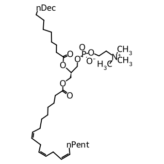 CCCCC/C=C\C/C=C\C/C=C\CCCCCCC(=O)OC[C@H](COP(=O)([O-])OCC[N+](C)(C)C)OC(=O)CCCCCCCCCCCCCCCCC